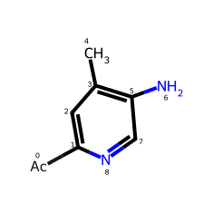 CC(=O)c1cc(C)c(N)cn1